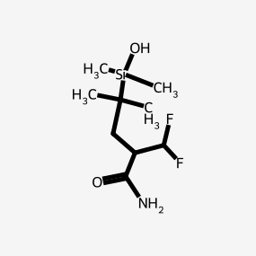 CC(C)(CC(C(N)=O)C(F)F)[Si](C)(C)O